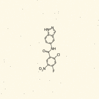 O=C(Nc1ccc2[nH]ncc2c1)c1cc([N+](=O)[O-])c(F)cc1Cl